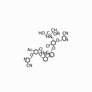 CC(=O)c1cc(Cl)c(OCc2cccc(-c3cccc(COc4cc(OCc5cncc(C#N)c5)c(CN[C@H](C(=O)O)C(C)O)cc4Cl)c3C)c2C)cc1OCc1cncc(C#N)c1